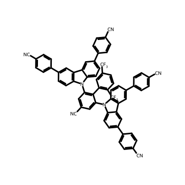 N#Cc1ccc(-c2ccc3c(c2)c2cc(-c4ccc(C#N)cc4)ccc2n3-c2cc(C#N)cc(-n3c4ccc(-c5ccc(C#N)cc5)cc4c4cc(-c5ccc(C#N)cc5)ccc43)c2-c2cc(C(F)(F)F)ccc2C(F)(F)F)cc1